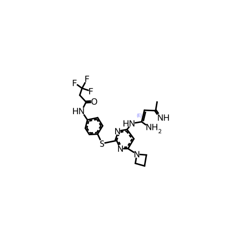 CC(=N)/C=C(\N)Nc1cc(N2CCC2)nc(Sc2ccc(NC(=O)CC(F)(F)F)cc2)n1